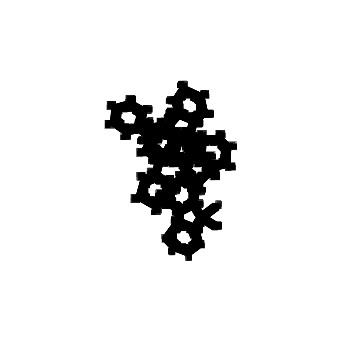 CC1(C)c2ccccc2-c2ccc(N(c3ccc(-c4ccccc4)cc3-c3ccccc3)c3ccccc3C34c5ccccc5-c5cccc(c53)-c3ccccc34)cc21